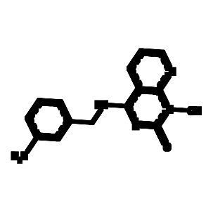 Nc1cccc(CNc2nc(=O)n(O)c3ncccc23)c1